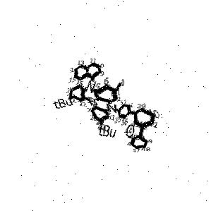 Cc1cc2c3c(c1)N(c1cccc4ccccc14)c1ccc(C(C)(C)C)cc1B3c1ccc(C(C)(C)C)cc1N2c1ccc(-c2cccc3c2oc2ccccc23)cc1